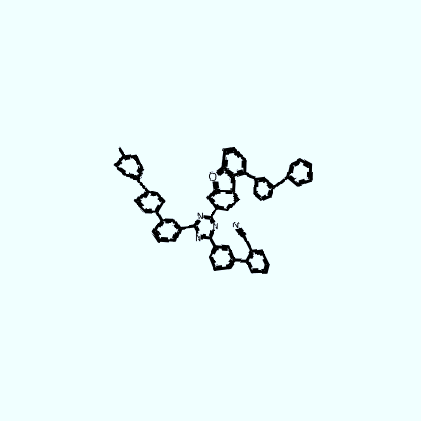 Cc1ccc(-c2ccc(-c3cccc(-c4nc(-c5cccc(-c6ccccc6C#N)c5)nc(-c5ccc6c(c5)oc5cccc(-c7cccc(-c8ccccc8)c7)c56)n4)c3)cc2)cc1